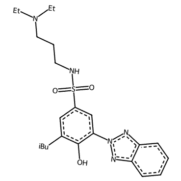 CCC(C)c1cc(S(=O)(=O)NCCCN(CC)CC)cc(-n2nc3ccccc3n2)c1O